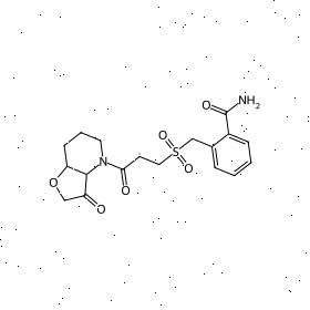 NC(=O)c1ccccc1CS(=O)(=O)C[CH]C(=O)N1CCCC2OCC(=O)C21